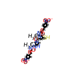 CC(=NC(=O)OCc1ccc([N+](=O)[O-])cc1)N[C@H]1CCN(C(=O)[C@@H]2C[C@H](S)CN2C(C)=NC(=O)OCc2ccc([N+](=O)[O-])cc2)C1